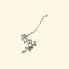 CCCCCCCCCCCCCCCCCCNC(=O)OC(I)C(CNS(=O)(=O)CCC[N+](C)(C)C)NC(=O)NC